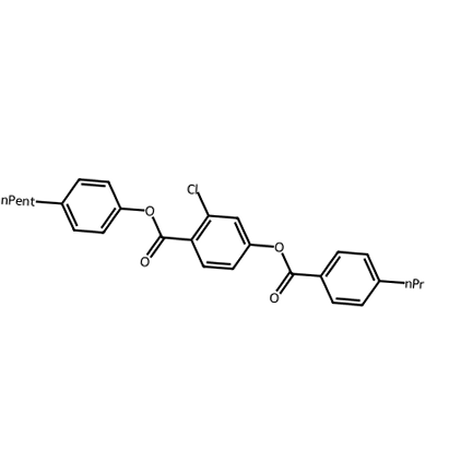 CCCCCc1ccc(OC(=O)c2ccc(OC(=O)c3ccc(CCC)cc3)cc2Cl)cc1